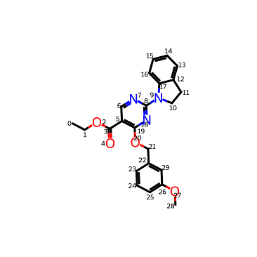 CCOC(=O)c1cnc(N2CCc3ccccc32)nc1OCc1cccc(OC)c1